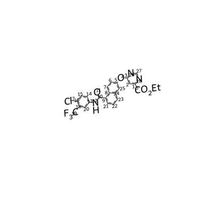 CCOC(=O)c1cc(Oc2ccc3c(C(=O)Nc4ccc(Cl)c(C(F)(F)F)c4)cccc3c2)ncn1